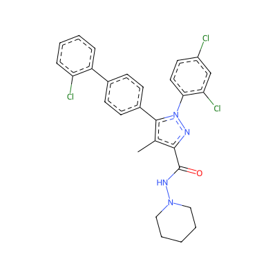 Cc1c(C(=O)NN2CCCCC2)nn(-c2ccc(Cl)cc2Cl)c1-c1ccc(-c2ccccc2Cl)cc1